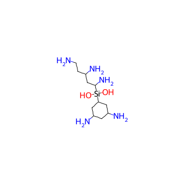 NCCC(N)CC(N)[Si](O)(O)C1CC(N)CC(N)C1